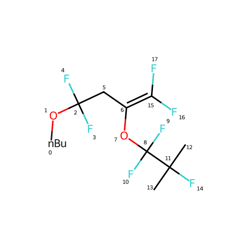 CCCCOC(F)(F)CC(OC(F)(F)C(C)(C)F)=C(F)F